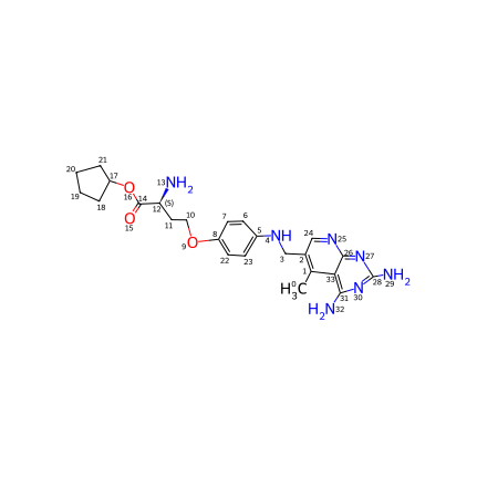 Cc1c(CNc2ccc(OCC[C@H](N)C(=O)OC3CCCC3)cc2)cnc2nc(N)nc(N)c12